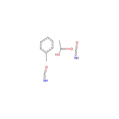 CC(=O)O.Cc1ccccc1.N=C=O.N=C=O